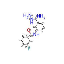 NNC(N)c1cccc(NC(=O)c2cccc(F)c2)c1